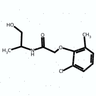 Cc1cccc(Cl)c1OCC(=O)NC(C)CO